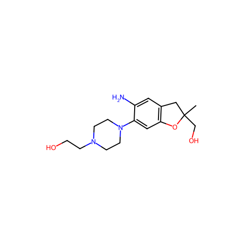 CC1(CO)Cc2cc(N)c(N3CCN(CCO)CC3)cc2O1